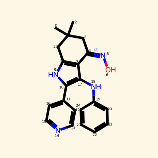 CC1(C)C/C(=N/O)c2c([nH]c(-c3ccncc3)c2Nc2ccccc2)C1